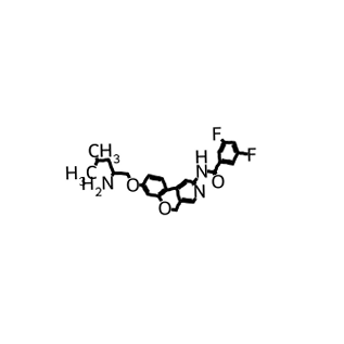 CC(C)CC(N)COc1ccc2c(c1)OCc1cnc(NC(=O)c3cc(F)cc(F)c3)cc1-2